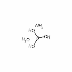 O.OB(O)O.[AlH3]